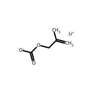 C=C(C)COC(=O)[O-].[Li+]